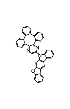 c1ccc2c(c1)-c1ccccc1-c1ncc(-n3c4ccccc4c4cc5c(cc43)oc3ccccc35)nc1-c1ccccc1-2